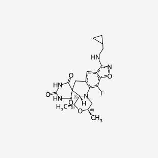 C[C@@H]1CN2c3c(cc4c(NCC5CC5)noc4c3F)CC3(C(=O)NC(=O)NC3=O)[C@H]2[C@H](C)O1